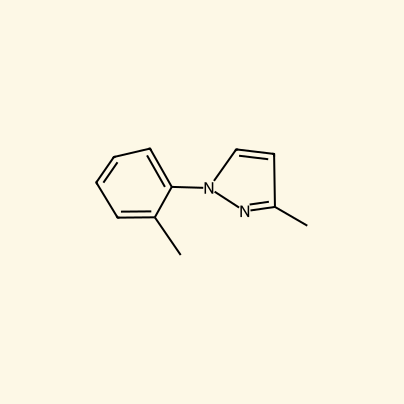 Cc1ccn(-c2ccccc2C)n1